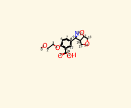 COCCOc1ccc(C2=NOC3COCC23)cc1C(=O)O